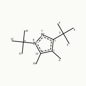 Cc1c(C(C)(C)C)nn(C(C)(C)C)c1C